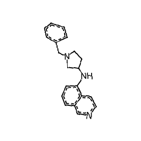 c1ccc(CN2CCC(Nc3cccc4cnccc34)C2)cc1